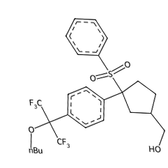 CCCCOC(c1ccc(C2(S(=O)(=O)c3ccccc3)CCC(CO)C2)cc1)(C(F)(F)F)C(F)(F)F